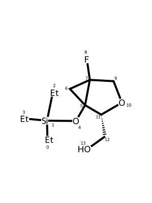 CC[Si](CC)(CC)OC12CC1(F)CO[C@@H]2CO